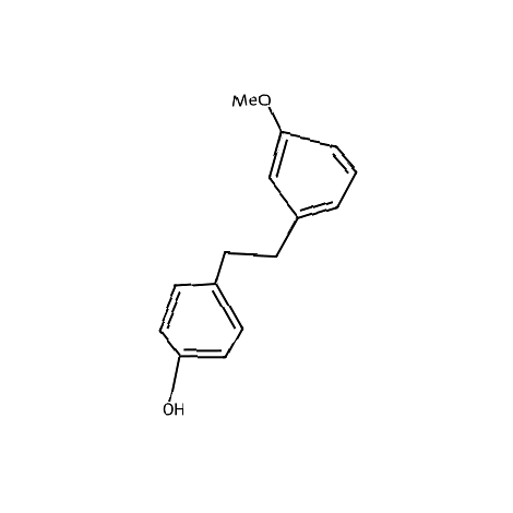 COc1cccc(CCc2ccc(O)cc2)c1